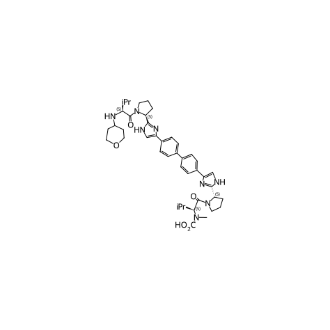 CC(C)[C@H](NC1CCOCC1)C(=O)N1CCC[C@H]1c1nc(-c2ccc(-c3ccc(-c4c[nH]c([C@@H]5CCCN5C(=O)[C@H](C(C)C)N(C)C(=O)O)n4)cc3)cc2)c[nH]1